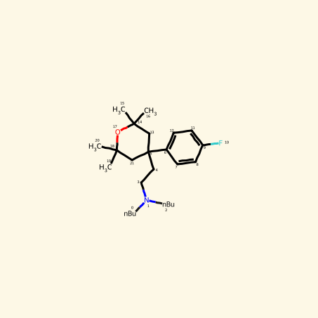 CCCCN(CCCC)CCC1(c2ccc(F)cc2)CC(C)(C)OC(C)(C)C1